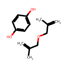 C=C(C)COCC(=C)C.Oc1ccc(O)cc1